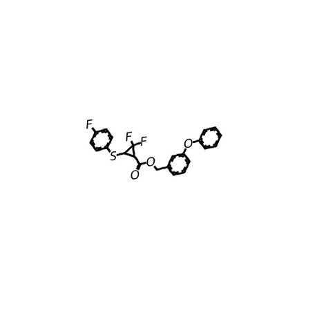 O=C(OCc1cccc(Oc2ccccc2)c1)C1C(Sc2ccc(F)cc2)C1(F)F